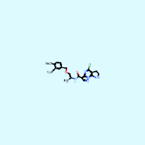 COc1ccc(COCC(C)NC(=O)c2cnn3c4c(c(Cl)nc23)CCN4)cc1[N+](=O)[O-]